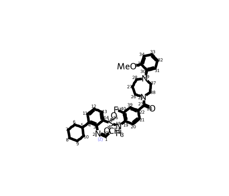 C/C=N\c1c(C2CCCCC2)cccc1S(=O)(=O)Nc1ccc(C(=O)N2CCCN(c3ccccc3OC)CC2)cc1F